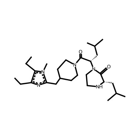 CCc1nc(CC2CCN(C(=O)[C@H](CC(C)C)N3CCN[C@@H](CC(C)C)C3=O)CC2)n(C)c1CC